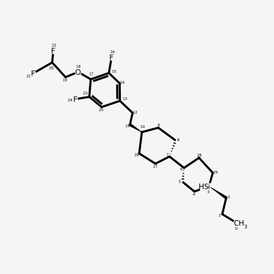 CCC[Si@H]1CC[C@H]([C@H]2CC[C@H](CCc3cc(F)c(OCC(F)F)c(F)c3)CC2)CC1